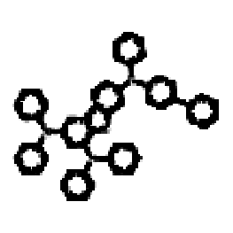 c1ccc(-c2ccc(N(c3ccccc3)c3ccc4c(c3)sc3c(N(c5ccccc5)c5ccccc5)cc(N(c5ccccc5)c5ccccc5)cc34)cc2)cc1